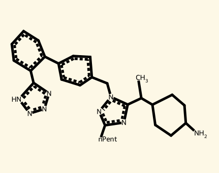 CCCCCc1nc(C(C)C2CCC(N)CC2)n(Cc2ccc(-c3ccccc3-c3nnn[nH]3)cc2)n1